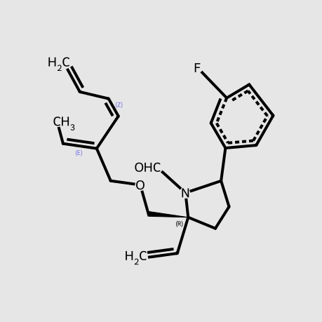 C=C/C=C\C(=C/C)COC[C@]1(C=C)CCC(c2cccc(F)c2)N1C=O